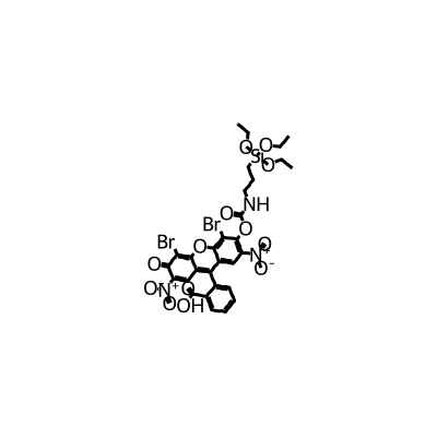 CCO[Si](CCCNC(=O)Oc1c([N+](=O)[O-])cc2c(-c3ccccc3C(=O)O)c3cc([N+](=O)[O-])c(=O)c(Br)c-3oc2c1Br)(OCC)OCC